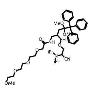 COCCOCCOCCOCC(=O)NCC(CC(OC)(OC)C(c1ccccc1)(c1ccccc1)c1ccccc1)POCC(C#N)N(C(C)C)C(C)C